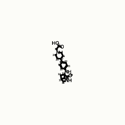 O=C(O)CN1CCC(c2ccc(NC34CC(CNC3=O)C4)cc2)CC1